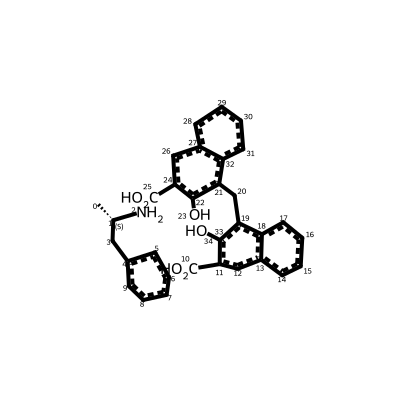 C[C@H](N)Cc1ccccc1.O=C(O)c1cc2ccccc2c(Cc2c(O)c(C(=O)O)cc3ccccc23)c1O